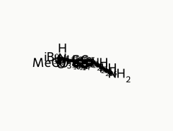 CCC(C)C(NC(=O)CCCC1CCC2C3CCC4CC(NCCCNCCCN)CCC4(C)C3CCC12C)C(=O)OC